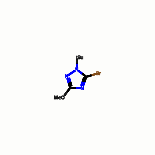 COc1nc(Br)n(C(C)(C)C)n1